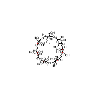 CC1C(O)[C@@H]2O[C@H]3OC(CO)[C@@H](O[C@H]4OC(CO)[C@@H](O[C@H]5OC(CO)[C@@H](O[C@H]6OC(CO)[C@@H](O[C@H]7OC(CO)[C@@H](O[C@H]8OC(CO)[C@@H](O[C@H]1OC2CO)C(O)C8O)C(O)C7O)C(O)C6O)C(O)C5O)C(O)C4O)C(O)C3O